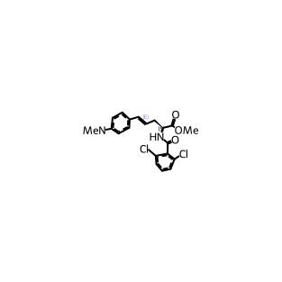 CNc1ccc(/C=C/C[C@H](NC(=O)c2c(Cl)cccc2Cl)C(=O)OC)cc1